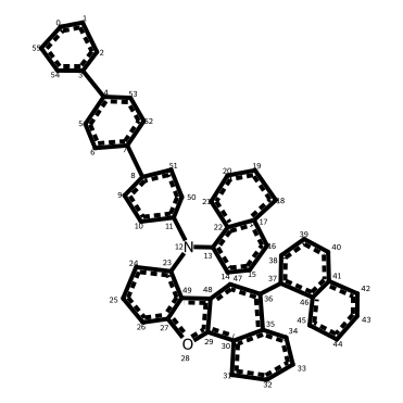 c1ccc(-c2ccc(-c3ccc(N(c4cccc5ccccc45)c4cccc5oc6c7ccccc7c(-c7cccc8ccccc78)cc6c45)cc3)cc2)cc1